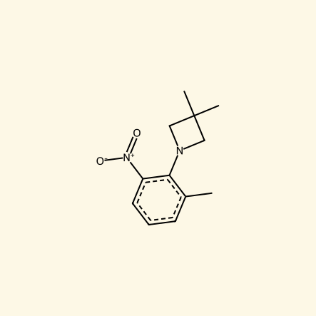 Cc1cccc([N+](=O)[O-])c1N1CC(C)(C)C1